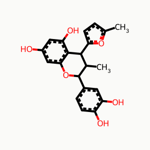 Cc1ccc(C2c3c(O)cc(O)cc3OC(c3ccc(O)c(O)c3)C2C)o1